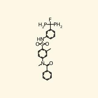 Cc1cc(N(C)C(=O)c2ccccc2)ccc1S(=O)(=O)Nc1cccc(C(F)(P)P)c1